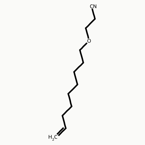 C=CCCCCCCCOCCC#N